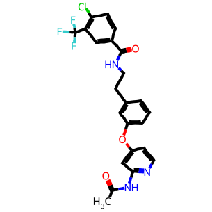 CC(=O)Nc1cc(Oc2cccc(CCNC(=O)c3ccc(Cl)c(C(F)(F)F)c3)c2)ccn1